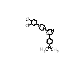 CN(C)c1ccc(-c2cncc(N3CCN(c4ccc(Cl)c(Cl)c4)CC3)n2)cc1